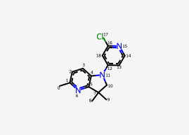 Cc1ccc2c(n1)C(C)(C)CN2c1ccnc(Cl)c1